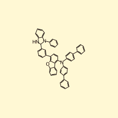 c1ccc(-c2ccc(N(c3ccc(-c4ccccc4)cc3)c3ccc(-c4cccc(C5Nc6ccccc6N5c5ccccc5)c4)c4oc5ccccc5c34)cc2)cc1